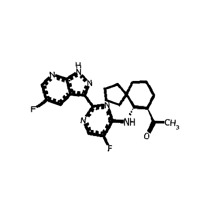 CC(=O)[C@@H]1CCCC2(CCCC2)[C@H]1Nc1nc(-c2n[nH]c3ncc(F)cc23)ncc1F